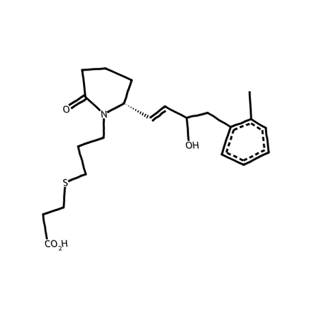 Cc1ccccc1CC(O)/C=C/[C@H]1CCCC(=O)N1CCCSCCC(=O)O